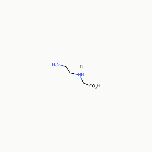 NCCNCC(=O)O.[Ti]